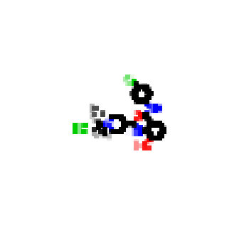 CC(C)N1CCC(CNc2c(O)cccc2C(=O)Nc2ccc(Cl)cc2)CC1.Cl